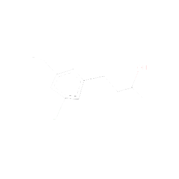 CC(O)C[CH]c1cc(F)cc(C(F)(F)F)c1